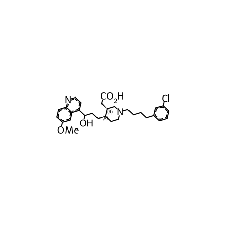 COc1ccc2nccc(C(O)CC[C@@H]3CCN(CCCCc4cccc(Cl)c4)C[C@@H]3CC(=O)O)c2c1